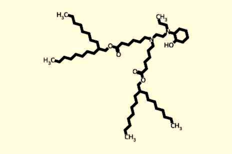 CCCCCCCCC(CCCCCCCC)COC(=O)CCCCCN(CCCCCC(=O)OCC(CCCCCCCC)CCCCCCCC)CCN(CCC)C1CCCCC1O